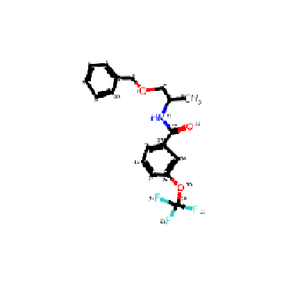 CC(COCc1ccccc1)NC(=O)c1cccc(OC(F)(F)F)c1